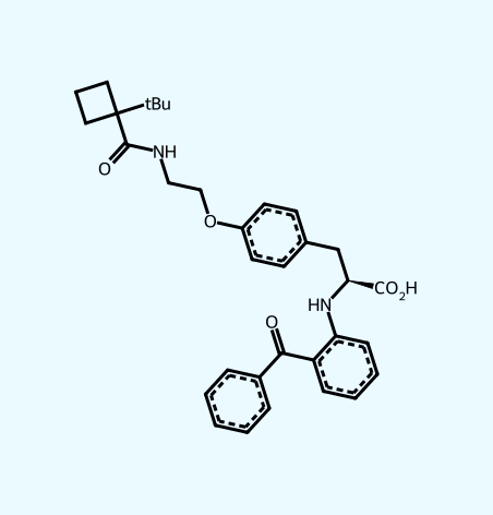 CC(C)(C)C1(C(=O)NCCOc2ccc(C[C@H](Nc3ccccc3C(=O)c3ccccc3)C(=O)O)cc2)CCC1